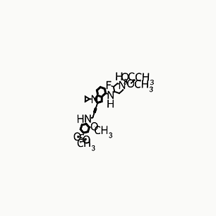 COc1cc(S(C)(=O)=O)ccc1NCC#Cc1cc2c(N[C@@H]3CCN(C(=O)OC(C)(C)C)C[C@@H]3F)cccc2n1C1CC1